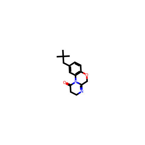 CC(C)(C)Cc1ccc2c(c1)N1C(=O)CCN=C1CO2